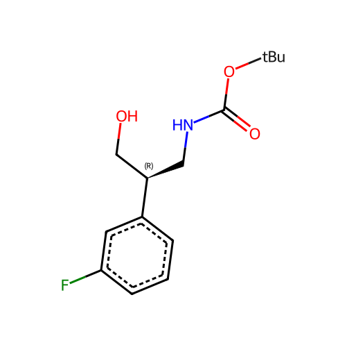 CC(C)(C)OC(=O)NC[C@H](CO)c1cccc(F)c1